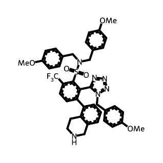 COc1ccc(CN(Cc2ccc(OC)cc2)S(=O)(=O)c2c(C(F)(F)F)ccc(-c3cccc4c3CCNC4)c2-c2nnnn2Cc2ccc(OC)cc2)cc1